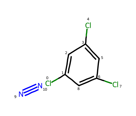 Clc1cc(Cl)cc(Cl)c1.N#N